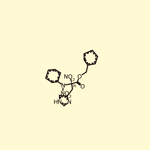 O=C(OCc1ccccc1)[C@](Cc1c[nH]cn1)(N(c1ccccc1)[N+](=O)[O-])[N+](=O)[O-]